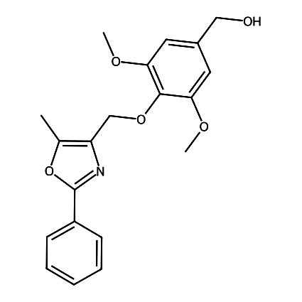 COc1cc(CO)cc(OC)c1OCc1nc(-c2ccccc2)oc1C